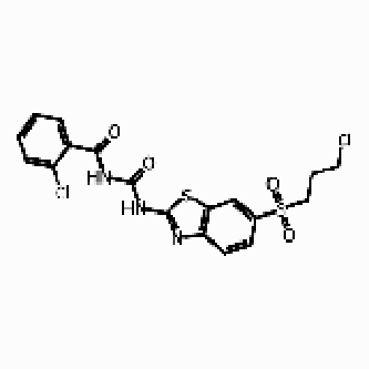 O=C(NC(=O)c1ccccc1Cl)Nc1nc2ccc(S(=O)(=O)CCCCl)cc2s1